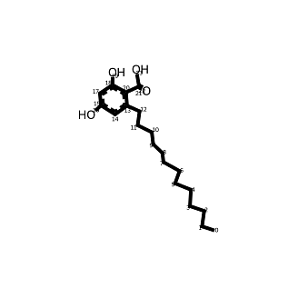 CCCCCCCCCCCCCc1cc(O)cc(O)c1C(=O)O